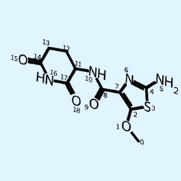 COc1sc(N)nc1C(=O)NC1CCC(=O)NC1=O